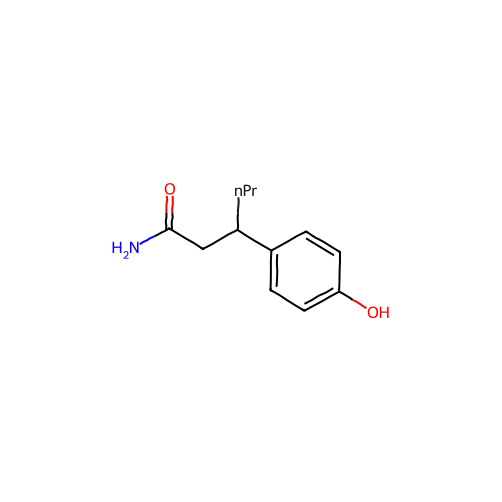 CCCC(CC(N)=O)c1ccc(O)cc1